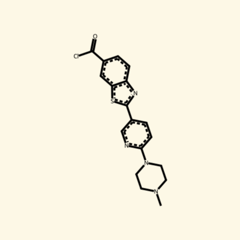 CN1CCN(c2ccc(-c3nc4ccc(C(=O)Cl)cc4s3)cn2)CC1